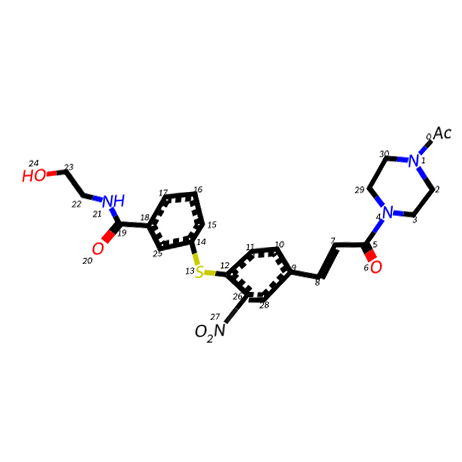 CC(=O)N1CCN(C(=O)C=Cc2ccc(Sc3cccc(C(=O)NCCO)c3)c([N+](=O)[O-])c2)CC1